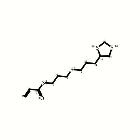 C=CC(=O)SCCCSCCCC1CSCS1